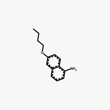 CCCCOc1ccc2c(N)cccc2c1